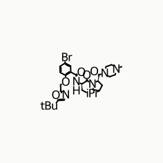 CC(C)C[C@@H](NC(=O)c1cc(Br)ccc1OCc1ncc(C(C)(C)C)o1)C(=O)N1CCC[C@@H]1C(=O)N1CCN(C)CC1